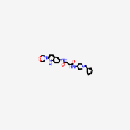 O=C(CCC(=O)NC1CCN(Cc2ccccc2)CC1)NC1=CC2=CC=C(N3CCOCC3)NC2C=C1